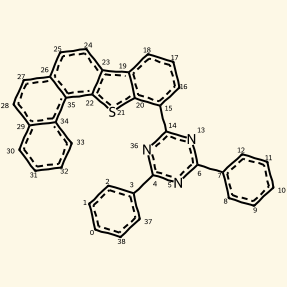 c1ccc(-c2nc(-c3ccccc3)nc(-c3cccc4c3sc3c4ccc4ccc5ccccc5c43)n2)cc1